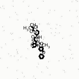 CC(C)=C(Cl)C(=O)N1CCC[C@@H](NC(=O)c2sc3nccc4c3c2NC(=O)N4c2ccc(Oc3ccccc3)cc2C)C1